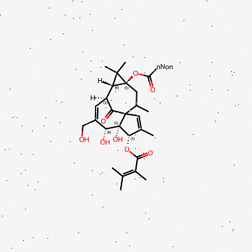 CCCCCCCCCC(=O)O[C@@]12CC(C)C34C=C(C)[C@H](OC(=O)C(C)=C(C)C)[C@@]3(O)[C@H](O)C(CO)=C[C@H](C4=O)[C@@H]1C2(C)C